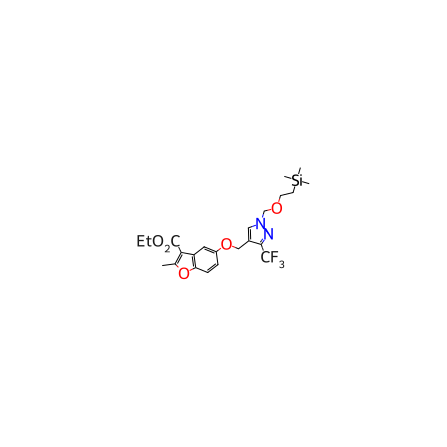 CCOC(=O)c1c(C)oc2ccc(OCc3cn(COCC[Si](C)(C)C)nc3C(F)(F)F)cc12